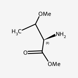 COC(=O)[C@H](N)C(C)OC